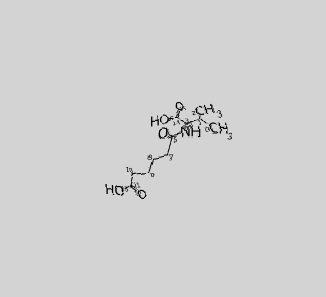 CC(C)[C@H](NC(=O)CCCCC(=O)O)C(=O)O